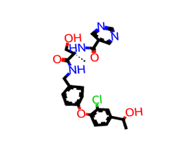 CC(O)c1ccc(Oc2ccc(CNC(=O)[C@@](C)(CO)NC(=O)c3cncnc3)cc2)c(Cl)c1